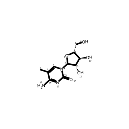 Cc1cn(C2O[C@H](CO)[C@@H](O)[C@@H]2O)c(=O)nc1N